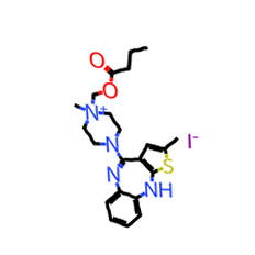 CCCC(=O)OC[N+]1(C)CCN(C2=Nc3ccccc3Nc3sc(C)cc32)CC1.[I-]